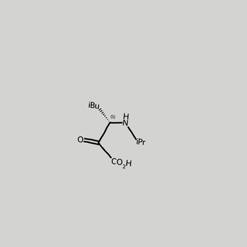 CCC(C)[C@H](NC(C)C)C(=O)C(=O)O